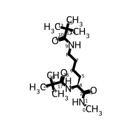 CNC(=O)[C@H](CCCCNC(=O)C(C)(C)C)NC(=O)C(C)(C)C